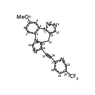 COc1ccc2c(c1)-n1nncc1Cc1c(C#Cc3ccc(C(F)(F)F)cn3)ncn1-2